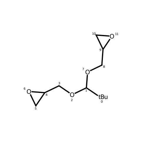 CC(C)(C)C(OCC1CO1)OCC1CO1